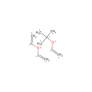 C=COC(C)(C)C.C=COC=C